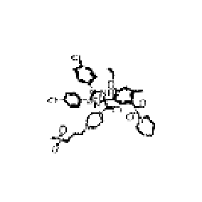 CCOc1cc(C)c(S(=O)(=O)N2CCCCC2)cc1C1(C(=O)N2CCN(CCCS(C)(=O)=O)CC2)N[C@H](c2ccc(Cl)cc2)[C@H](c2ccc(Cl)cc2)N1